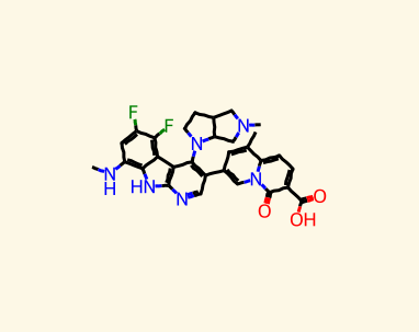 CNc1cc(F)c(F)c2c1[nH]c1ncc(-c3cc(C)c4ccc(C(=O)O)c(=O)n4c3)c(N3CCC4CN(C)CC43)c12